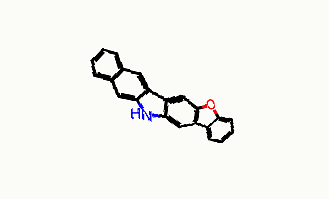 c1ccc2cc3c(cc2c1)[nH]c1cc2c(cc13)oc1ccccc12